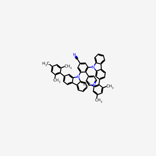 Cc1cc(C)c(-c2ccc3c4ccccc4n(-c4cc(C#N)cc(-n5c6ccccc6c6ccc(-c7c(C)cc(C)cc7C)cc65)c4-c4ccncc4)c3c2)c(C)c1